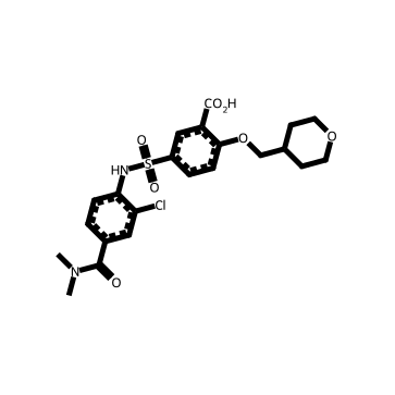 CN(C)C(=O)c1ccc(NS(=O)(=O)c2ccc(OCC3CCOCC3)c(C(=O)O)c2)c(Cl)c1